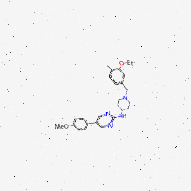 CCOc1cc(CN2CCC(Nc3ncc(-c4ccc(OC)cc4)cn3)CC2)ccc1C